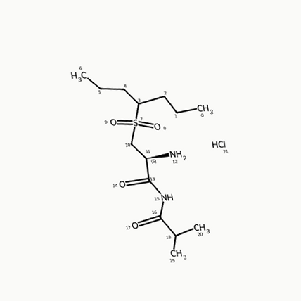 CCCC(CCC)S(=O)(=O)C[C@@H](N)C(=O)NC(=O)C(C)C.Cl